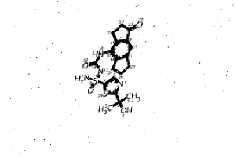 CC(C)(O)c1ncc([S@](N)(=O)=NC(=O)Nc2c3c(cc4c2CCC4=O)CCC3)s1